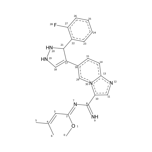 CO/C(C=C(C)C)=N\C(=N)c1cnc2ccc(C3=CNNC3c3ccccc3F)cn12